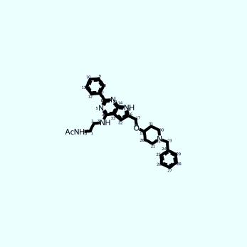 CC(=O)NCCNc1nc(-c2ccccc2)nc2[nH]c(COC3CCN(Cc4ccccc4)CC3)cc12